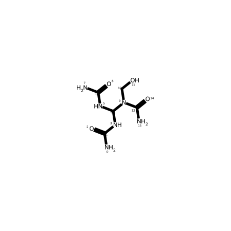 NC(=O)NC(NC(N)=O)N(CO)C(N)=O